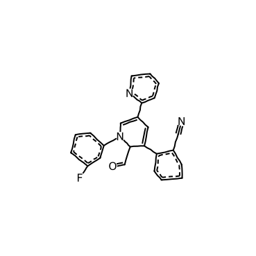 N#Cc1ccccc1C1=CC(c2ccccn2)=CN(c2cccc(F)c2)C1C=O